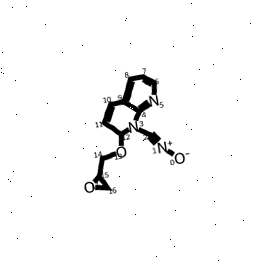 [O-][N+]#CN1c2ncccc2C=CC1OCC1CO1